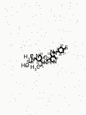 CC[C@H](NC(=O)c1cncc2c1cnn2-c1ccc(F)cc1)c1ccnc(N(C)CCO)c1